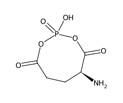 N[C@H]1CCC(=O)OP(=O)(O)OC1=O